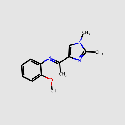 COc1ccccc1N=C(C)c1cn(C)c(C)n1